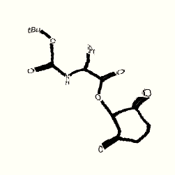 CC(C)C(NC(=O)OC(C)(C)C)C(=O)OC1C(=O)CCC1=O